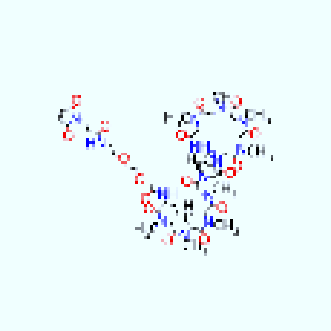 CCC[C@H](NC(=O)COCCOCCNC(=O)CCN1C(=O)C=CC1=O)C(=O)N(C)CC(=O)N(C)CC(=O)N(C)CC(=O)N(C)CC(=O)N(C)CC(=O)N(C)CC(=O)N(C)CC(=O)N(C)CC(=O)N(C)CC(=O)N(C)CC(N)=O